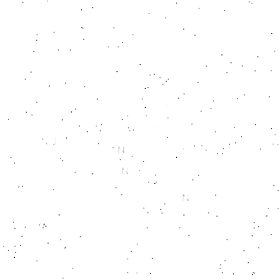 O=c1c2c(-n3cc(C4CCCN4)nn3)ncn2c2cccc(Cl)c2n1CC1CCCCO1